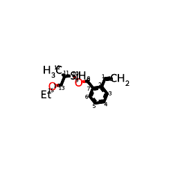 C=Cc1ccccc1CO[SiH2]C(C)COCC